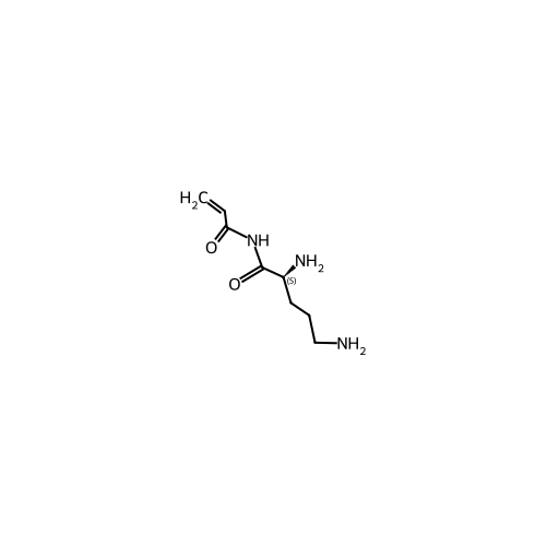 C=CC(=O)NC(=O)[C@@H](N)CCCN